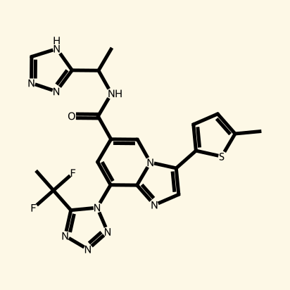 Cc1ccc(-c2cnc3c(-n4nnnc4C(C)(F)F)cc(C(=O)NC(C)c4nnc[nH]4)cn23)s1